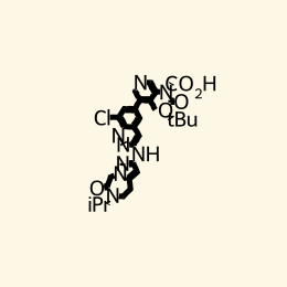 Cc1c(-c2cc(Cl)c3nnc(Nc4cc5n(n4)CC(=O)N(C(C)C)CC5)cc3c2)cncc1N(C(=O)O)C(=O)OC(C)(C)C